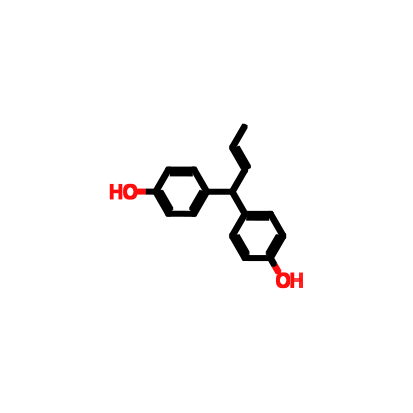 CC=CC(c1ccc(O)cc1)c1ccc(O)cc1